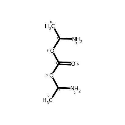 CC(N)OC(=O)OC(C)N